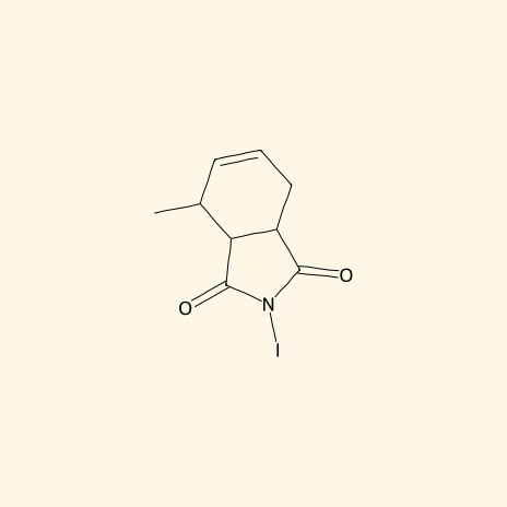 CC1C=CCC2C(=O)N(I)C(=O)C12